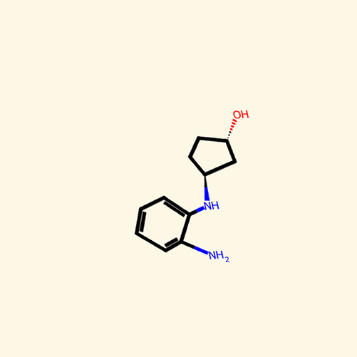 Nc1ccccc1N[C@H]1CC[C@H](O)C1